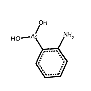 Nc1ccccc1[As](O)O